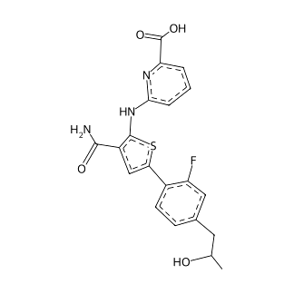 CC(O)Cc1ccc(-c2cc(C(N)=O)c(Nc3cccc(C(=O)O)n3)s2)c(F)c1